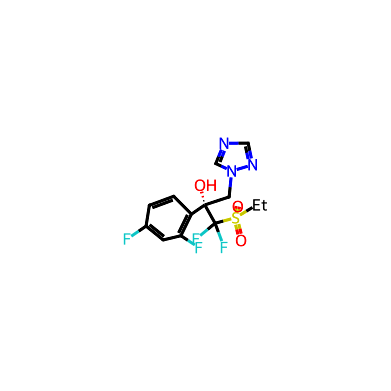 CCS(=O)(=O)C(F)(F)[C@](O)(Cn1cncn1)c1ccc(F)cc1F